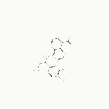 CCNCC(Nc1ncnc2c(C(N)=O)ccnc12)c1ccc(C(F)(F)F)c(C(F)(F)F)c1